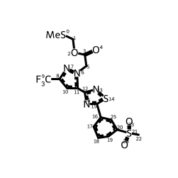 CSCOC(=O)Cn1nc(C(F)(F)F)cc1-c1nsc(-c2cccc(S(C)(=O)=O)c2)n1